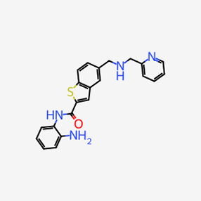 Nc1ccccc1NC(=O)c1cc2cc(CNCc3ccccn3)ccc2s1